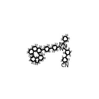 N#Cc1ccc(-c2cccc(-c3nc(-c4ccccc4)nc(-c4ccc(-c5ccc(-c6cc7ccc8cccc9c%10cccc%11ccc%12cccc(c(c6)c7c89)c%12c%11%10)cc5)cc4)n3)c2)cc1